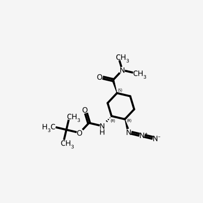 CN(C)C(=O)[C@H]1CC[C@@H](N=[N+]=[N-])[C@H](NC(=O)OC(C)(C)C)C1